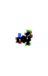 O=c1cc(C(F)F)c2cc3c(cc2n1CC(F)(F)F)NCCO3